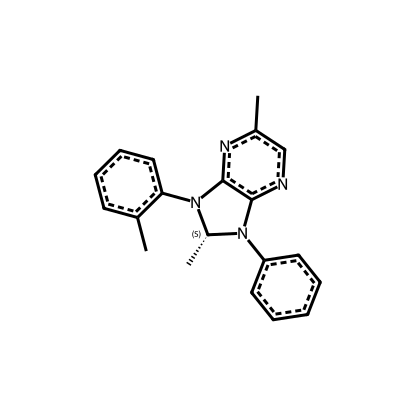 Cc1cnc2c(n1)N(c1ccccc1C)[C@@H](C)N2c1ccccc1